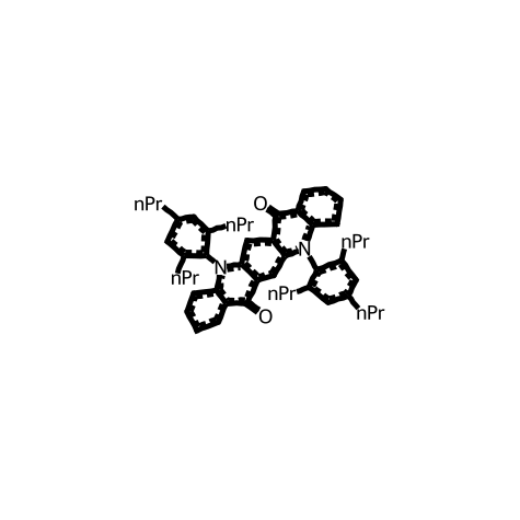 CCCc1cc(CCC)c(-n2c3ccccc3c(=O)c3cc4c(cc32)c(=O)c2ccccc2n4-c2c(CCC)cc(CCC)cc2CCC)c(CCC)c1